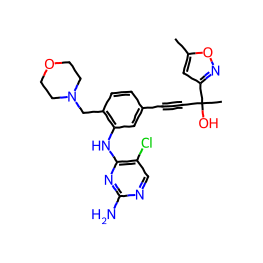 Cc1cc(C(C)(O)C#Cc2ccc(CN3CCOCC3)c(Nc3nc(N)ncc3Cl)c2)no1